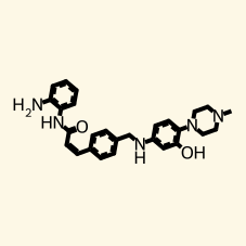 CN1CCN(c2ccc(NCc3ccc(/C=C\C(=O)Nc4ccccc4N)cc3)cc2O)CC1